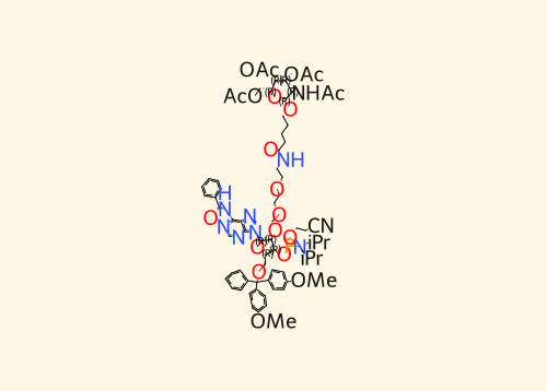 COc1ccc(C(OC[C@H]2O[C@@H](n3cnc4c(NC(=O)c5ccccc5)ncnc43)[C@H](OCOCCOCCNC(=O)CCCCO[C@@H]3O[C@H](COC(C)=O)[C@H](OC(C)=O)[C@H](OC(C)=O)[C@H]3NC(C)=O)[C@@H]2OP(OCCC#N)N(C(C)C)C(C)C)(c2ccccc2)c2ccc(OC)cc2)cc1